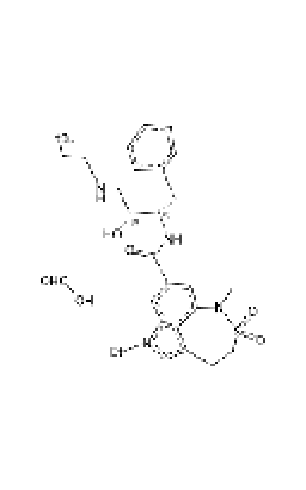 CCn1cc2c3c(cc(C(=O)N[C@@H](Cc4ccccc4)[C@H](O)CNCCC(C)(C)C)cc31)N(C)S(=O)(=O)CC2.O=CO